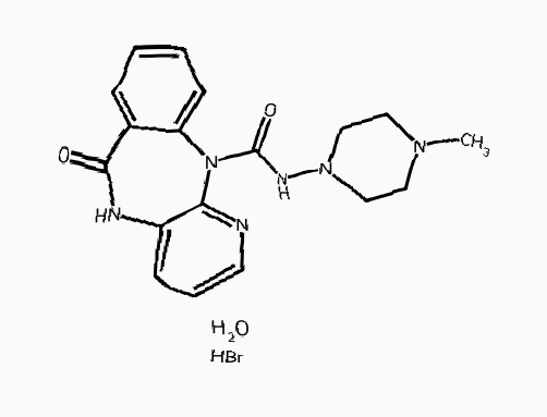 Br.CN1CCN(NC(=O)N2c3ccccc3C(=O)Nc3cccnc32)CC1.O